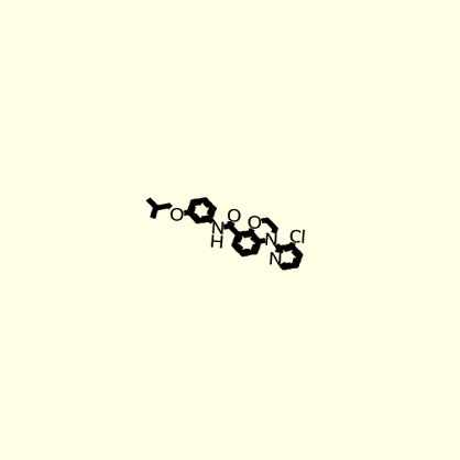 CC(C)COc1cccc(NC(=O)c2cccc3c2OCCN3c2ncccc2Cl)c1